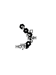 CC(C)(C(=O)O)[C@]1(O)CC[C@@H](Oc2nc3nc(-c4ccc(N5CCCCC5)cc4)c(Cl)cc3[nH]2)CC1